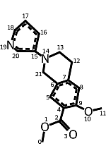 COC(=O)c1cc2c(cc1OC)CCN(c1cccnc1)C2